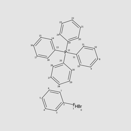 Br.Fc1ccccc1.c1ccc([P](c2ccccc2)(c2ccccc2)c2ccccc2)cc1